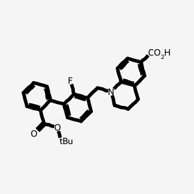 CC(C)(C)OC(=O)c1ccccc1-c1cccc(CN2CCCc3cc(C(=O)O)ccc32)c1F